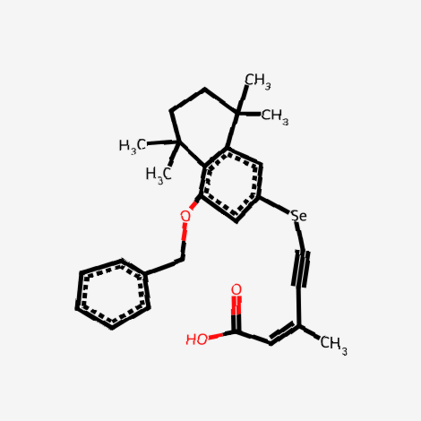 CC(C#C[Se]c1cc(OCc2ccccc2)c2c(c1)C(C)(C)CCC2(C)C)=CC(=O)O